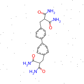 NC(=O)C(Cc1ccc(-c2ccc(CC(C(N)=O)C(N)=O)cc2)cc1)C(N)=O